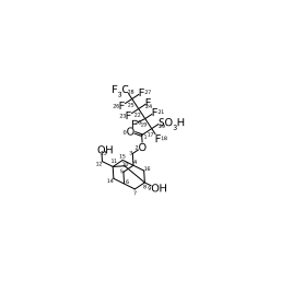 O=C(OCC12CC3CC(O)(CC(CO)(C3)C1)C2)C(F)(C(F)(F)C(F)(F)C(F)(F)C(F)(F)F)S(=O)(=O)O